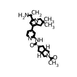 C=C(N)c1cc(-c2ccnc(NC(=O)[C@@H]3C[C@@H]4CN(C(C)=O)C[C@@H]4C3)c2)c2n1CC(C)(C)C2